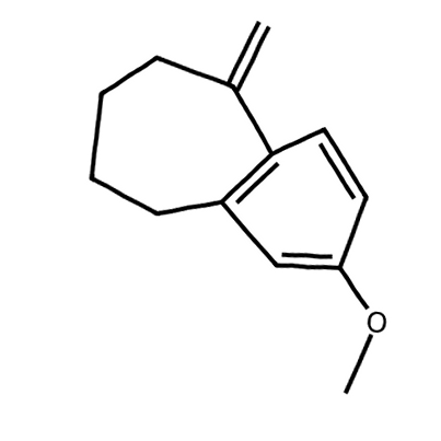 C=C1CCCCc2cc(OC)ccc21